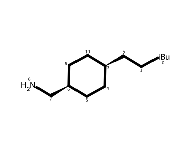 CCC(C)CC[C@H]1CC[C@@H](CN)CC1